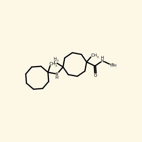 CC1(BC2(C)CCCC(C)(C(=O)NC(C)(C)C)CCC2)CCCCCCC1